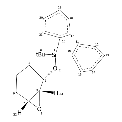 CC(C)(C)[Si](O[C@H]1CCC[C@H]2O[C@@H]12)(c1ccccc1)c1ccccc1